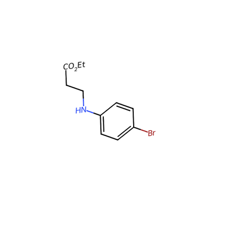 CCOC(=O)CCNc1ccc(Br)cc1